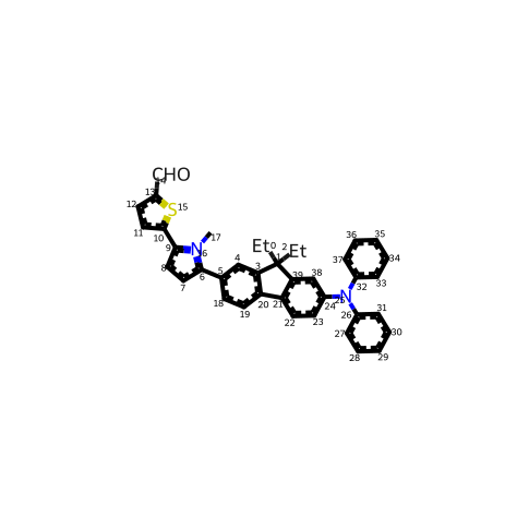 CCC1(CC)c2cc(-c3ccc(-c4ccc(C=O)s4)n3C)ccc2-c2ccc(N(c3ccccc3)c3ccccc3)cc21